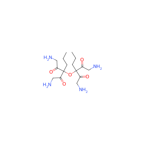 CCCC(OC(CCC)(C(=O)CN)C(=O)CN)(C(=O)CN)C(=O)CN